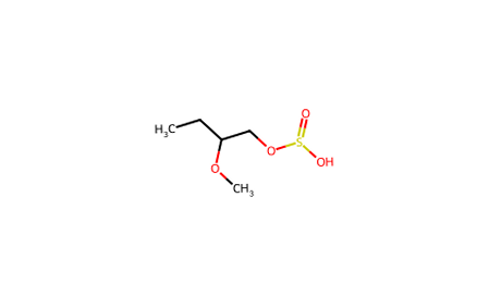 CCC(COS(=O)O)OC